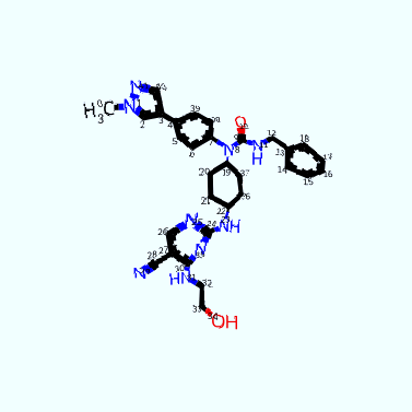 Cn1cc(-c2ccc(N(C(=O)NCc3ccccc3)[C@H]3CC[C@H](Nc4ncc(C#N)c(NCCO)n4)CC3)cc2)cn1